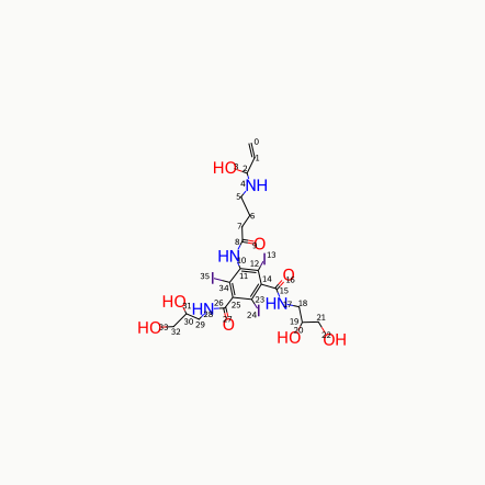 C=CC(O)NCCCC(=O)Nc1c(I)c(C(=O)NCC(O)CO)c(I)c(C(=O)NCC(O)CO)c1I